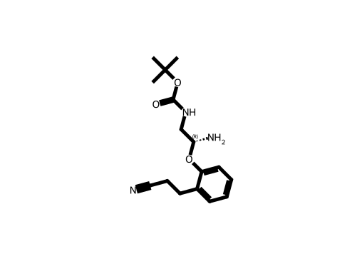 CC(C)(C)OC(=O)NC[C@H](N)Oc1ccccc1CCC#N